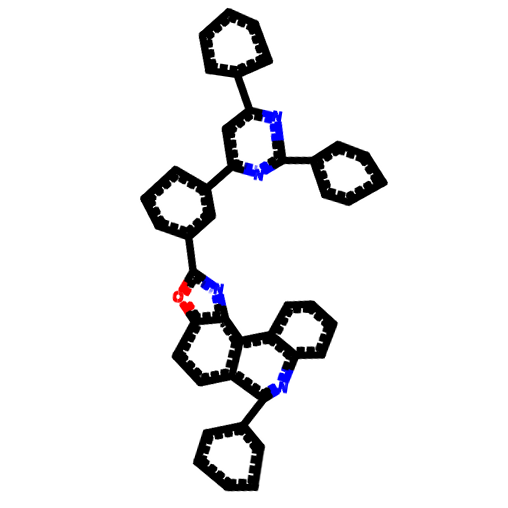 c1ccc(-c2cc(-c3cccc(-c4nc5c(ccc6c(-c7ccccc7)nc7ccccc7c65)o4)c3)nc(-c3ccccc3)n2)cc1